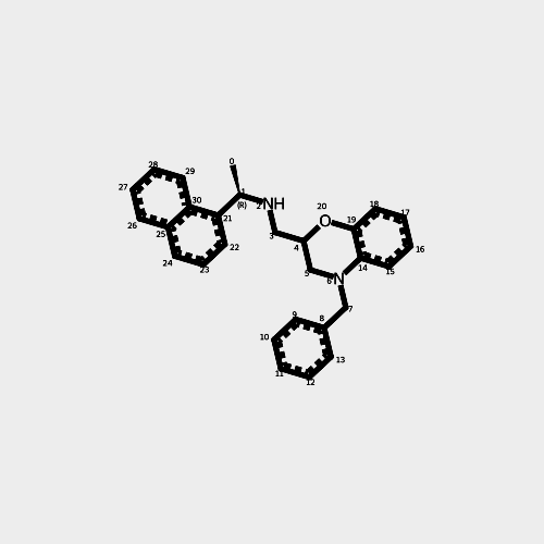 C[C@@H](NCC1CN(Cc2ccccc2)c2ccccc2O1)c1cccc2ccccc12